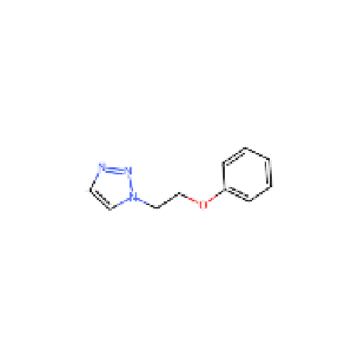 [c]1cn(CCOc2ccccc2)nn1